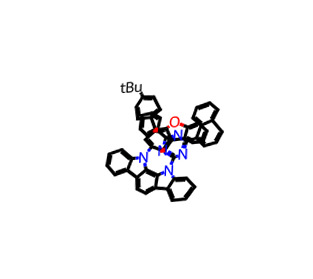 CC(C)(C)c1ccc(-c2cc(-n3c4ccccc4c4ccc5c6ccccc6n(-c6nc(-c7ccccc7)nc(-c7cccc8ccccc78)n6)c5c43)cc3c2oc2ccccc23)cc1